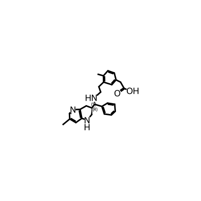 Cc1cnc2c(c1)NC[C@H]([C@H](NCCc1cc(CC(=O)O)ccc1C)c1ccccc1)C2